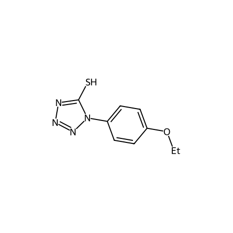 CCOc1ccc(-n2nnnc2S)cc1